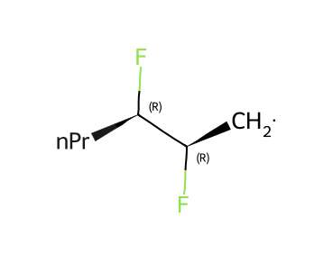 [CH2][C@@H](F)[C@H](F)CCC